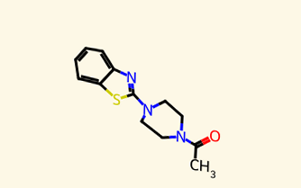 CC(=O)N1CCN(c2nc3ccccc3s2)CC1